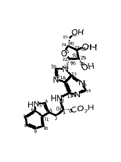 O=C(O)[C@H](Cc1c[nH]c2ccccc12)Nc1ncnc2c1ncn2[C@@H]1O[C@H](CO)C(O)[C@@H]1O